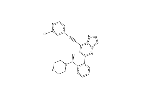 O=C(c1ccccc1-c1cc(C#Cc2ccnc(Cl)c2)c2nccn2n1)N1CCOCC1